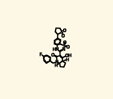 O=C1C(C2=NS(=O)(=O)c3cc(C4CCCS4(=O)=O)ccc3N2)=C(O)[C@@H]2CCC[C@@H]2N1Cc1ccc(F)cc1